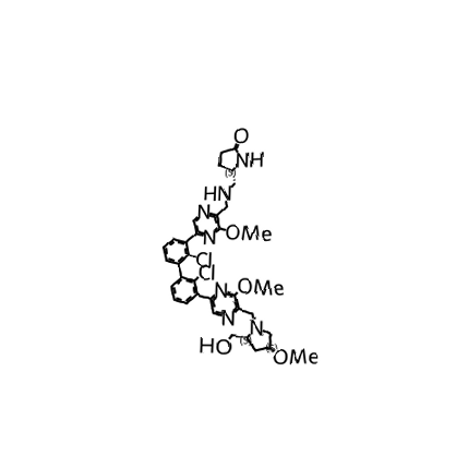 COc1nc(-c2cccc(-c3cccc(-c4cnc(CN5C[C@@H](OC)C[C@H]5CO)c(OC)n4)c3Cl)c2Cl)cnc1CNC[C@@H]1CCC(=O)N1